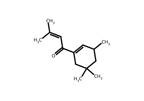 CC(C)=CC(=O)C1=CC(C)CC(C)(C)C1